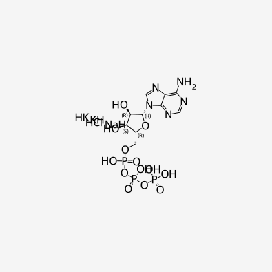 Cl.Nc1ncnc2c1ncn2[C@@H]1O[C@H](COP(=O)(O)OP(=O)(O)OP(=O)(O)O)[C@@H](O)[C@H]1O.[KH].[KH].[NaH]